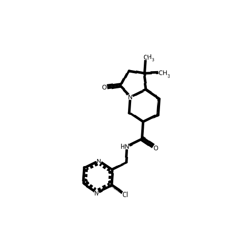 CC1(C)CC(=O)N2CC(C(=O)NCc3nccnc3Cl)CCC21